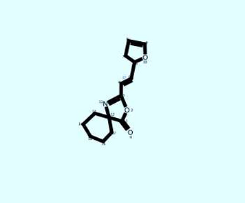 O=C1OC(/C=C/C2CC=CO2)=NC12CCCCC2